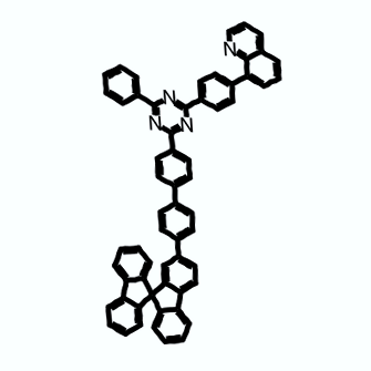 c1ccc(-c2nc(-c3ccc(-c4ccc(-c5ccc6c(c5)C5(c7ccccc7-c7ccccc75)c5ccccc5-6)cc4)cc3)nc(-c3ccc(-c4cccc5cccnc45)cc3)n2)cc1